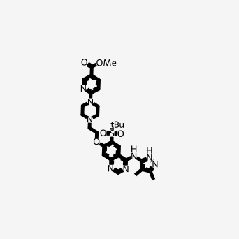 COC(=O)c1ccc(N2CCN(CCOc3cc4ncnc(Nc5[nH]nc(C)c5C)c4cc3S(=O)(=O)C(C)(C)C)CC2)nc1